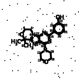 CC1(C)OCCn2c1nc1c(N3CCOCC3)nc(-c3cccc(O)c3)nc12